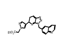 CCOC(=O)Cn1cc(C2CC=c3nnn(Cc4ccc5ncccc5c4)c3=N2)cn1